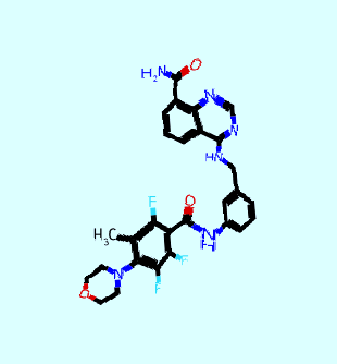 Cc1c(F)c(C(=O)Nc2cccc(CNc3ncnc4c(C(N)=O)cccc34)c2)c(F)c(F)c1N1CCOCC1